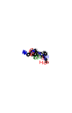 COc1ccc(-n2cnnn2)cc1C(=O)N1CCC(CCN2CCC(NC(=O)N3CCC(C(=O)O)C3)(c3ccccc3)CC2)(c2ccc(Cl)c(Cl)c2)C1